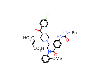 COc1ccccc1N(CCN1CCC(C(=O)c2ccc(F)cc2)CC1)C(=O)c1ccc(NC(=O)NC(C)(C)C)cc1.O=C(O)C=CC(=O)O